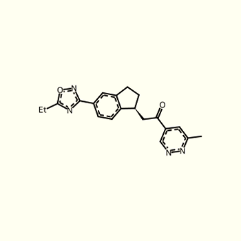 CCc1nc(-c2ccc3c(c2)CC[C@H]3CC(=O)c2cnnc(C)c2)no1